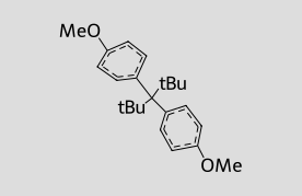 COc1ccc(C(c2ccc(OC)cc2)(C(C)(C)C)C(C)(C)C)cc1